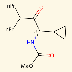 CCCC(CCC)C(=O)[C@@H](NC(=O)OC)C1CC1